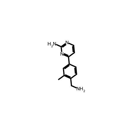 Cc1cc(-c2ccnc(N)n2)ccc1CN